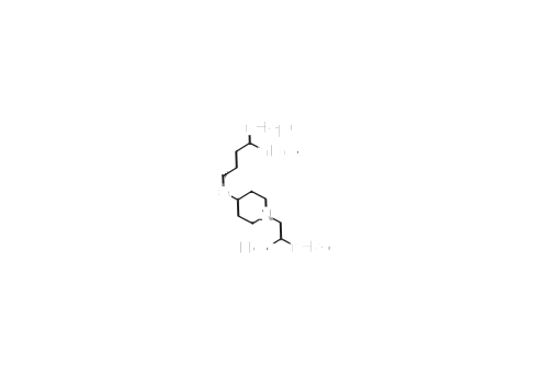 CCCCCCCC(CCCCCC)CC[C@@H](C)OC1CCN(CC(CCCCCC)CCCCCC)CC1